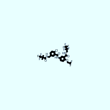 CC(C)(C(=O)NCc1ccc(Cl)c(C(=O)Nc2ccc(OCC(F)F)c(C(=O)NCC(F)(F)C(F)(F)F)c2)c1)C(F)(F)F